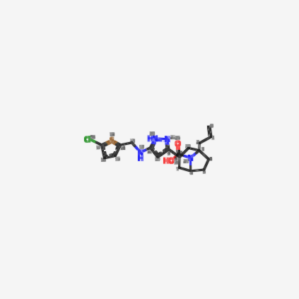 C=CCC12CCC(CC(c3cc(NCc4ccc(Cl)s4)[nH]n3)C1)N2C(=O)O